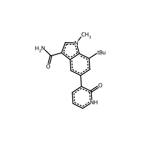 Cn1cc(C(N)=O)c2cc(-c3ccc[nH]c3=O)cc(C(C)(C)C)c21